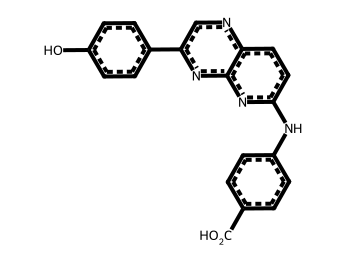 O=C(O)c1ccc(Nc2ccc3ncc(-c4ccc(O)cc4)nc3n2)cc1